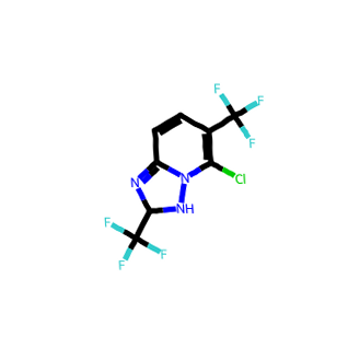 FC(F)(F)C1=C(Cl)N2NC(C(F)(F)F)N=C2C=C1